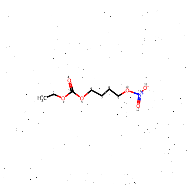 C[CH]OC(=O)OCCCCO[N+](=O)[O-]